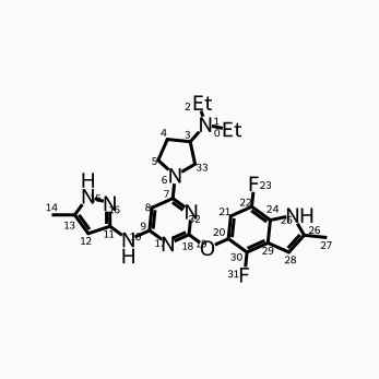 CCN(CC)C1CCN(c2cc(Nc3cc(C)[nH]n3)nc(Oc3cc(F)c4[nH]c(C)cc4c3F)n2)C1